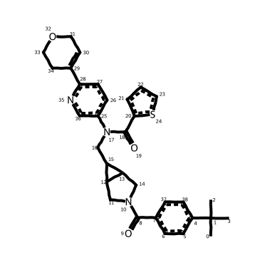 CC(C)(C)c1ccc(C(=O)N2CC3C(C2)C3CN(C(=O)c2cccs2)c2ccc(C3=CCOCC3)nc2)cc1